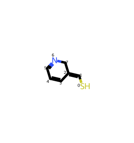 SC=C1C=CC=NC1